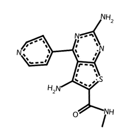 CNC(=O)c1sc2nc(N)nc(-c3ccncc3)c2c1N